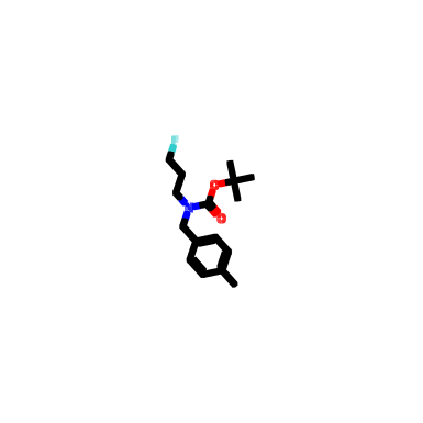 Cc1ccc(CN(CCCF)C(=O)OC(C)(C)C)cc1